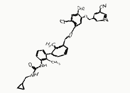 Cc1c(COc2cc(OCc3cncc(C#N)c3)c(C=O)cc2Cl)cccc1-c1cccc(NC(=O)NCC2CC2)c1C